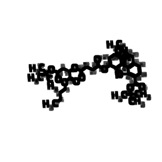 CCCCOC(=O)[C@@H](CC(=O)OC(C)(C)C)OC(=O)CCC(=O)OC1=CC[C@@]2(O)C3Cc4ccc(C(=O)OC(C)(C)C)c5c4[C@@]2(CCN3C)[C@H]1O5